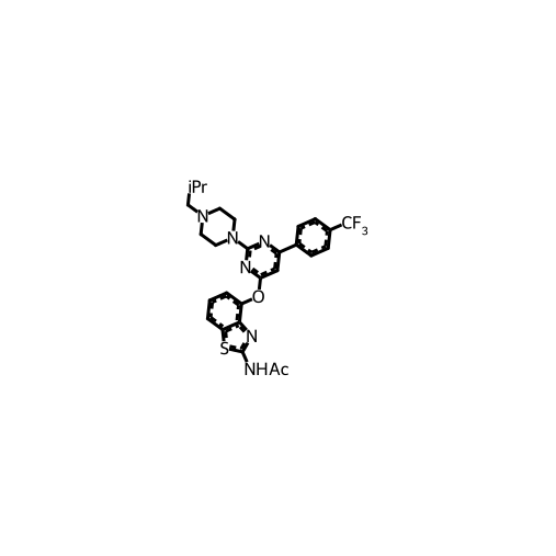 CC(=O)Nc1nc2c(Oc3cc(-c4ccc(C(F)(F)F)cc4)nc(N4CCN(CC(C)C)CC4)n3)cccc2s1